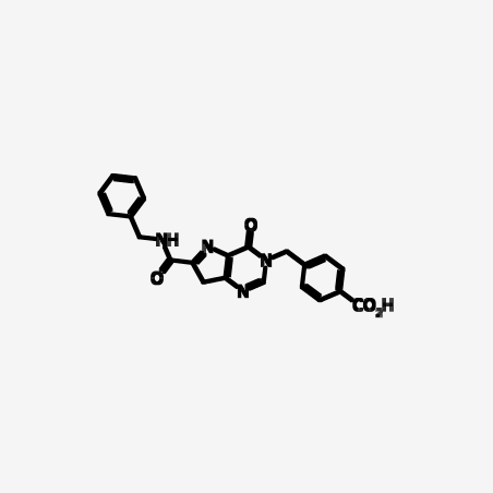 O=C(NCc1ccccc1)C1=Nc2c(ncn(Cc3ccc(C(=O)O)cc3)c2=O)C1